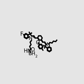 BNC(=O)CCCC[N+]1=C(/C=C/C2=C(Oc3ccc(C)cc3)C(=C/C=C3/N(CCCCC)c4ccccc4C3(C)C)/CCC2)C(C)(C)c2cc(F)ccc21